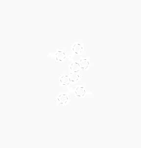 Cc1ccc(N(c2ccccc2)c2cc3c4cccc(N(c5ccccc5)c5ccc(C)cc5)c4ccc3c3ccccc23)cc1